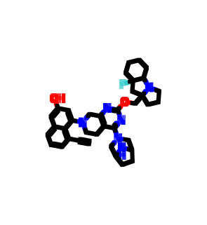 C#Cc1cccc2cc(O)cc(N3CCc4c(nc(OCC56CCCN5C5CCCCC5(F)C6)nc4N4CC5CCC(C4)N5)C3)c12